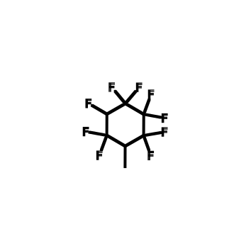 CC1C(F)(F)C(F)C(F)(F)C(F)(F)C1(F)F